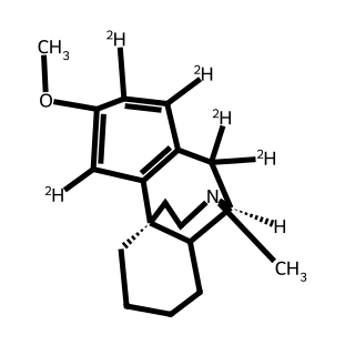 [2H]c1c([2H])c2c(c([2H])c1OC)[C@]13CCCCC1[C@@H](N(C)CC3)C2([2H])[2H]